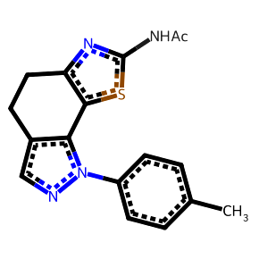 CC(=O)Nc1nc2c(s1)-c1c(cnn1-c1ccc(C)cc1)CC2